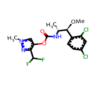 CO[C@@H](c1ccc(Cl)cc1Cl)[C@@H](C)NC(=O)Oc1cn(C)nc1C(F)F